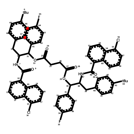 CC(C)(C)c1ccc(CC(NC(=O)c2cccc3c(Cl)cccc23)C(OC(=O)CCC(=O)OC(c2ccc(F)cc2)C(Cc2ccc(C(C)(C)C)cc2)NC(=O)c2cccc3c(Cl)cccc23)c2ccc(F)cc2)cc1